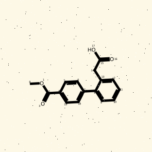 COC(=O)c1ccc(-c2ccccc2CC(=O)O)cc1